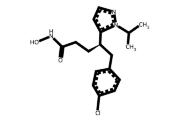 CC(C)n1nccc1[C@H](CCC(=O)NO)Cc1ccc(Cl)cc1